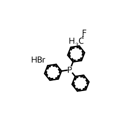 Br.CF.c1ccc(P(c2ccccc2)c2ccccc2)cc1